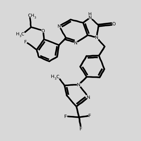 Cc1cc(C(F)(F)F)nn1-c1ccc(Cn2c(=O)[nH]c3cnc(-c4cccc(F)c4OC(C)C)nc32)cc1